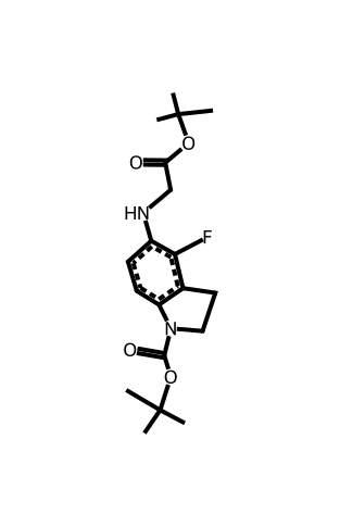 CC(C)(C)OC(=O)CNc1ccc2c(c1F)CCN2C(=O)OC(C)(C)C